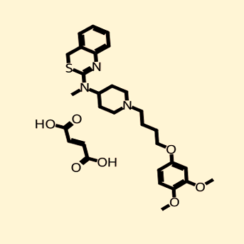 COc1ccc(OCCCCN2CCC(N(C)C3=Nc4ccccc4CS3)CC2)cc1OC.O=C(O)C=CC(=O)O